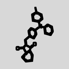 Cc1ccc(N(c2ccccc2)c2ccc(C=C3C(=O)c4ccccc4C3=O)cc2)cc1